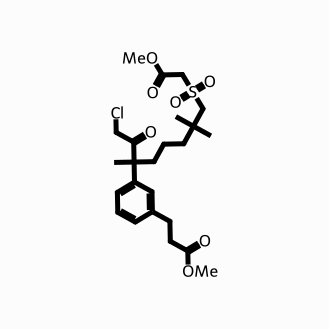 COC(=O)CCc1cccc(C(C)(CCCC(C)(C)CS(=O)(=O)CC(=O)OC)C(=O)CCl)c1